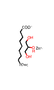 CCCCCCCCCCCCCCCCCC(=O)[O-].OCC(O)CO.[Zn+]